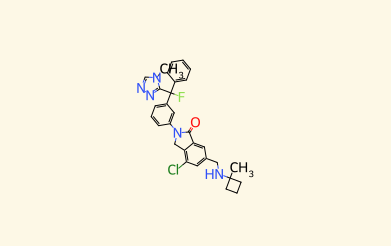 Cn1cnnc1C(F)(c1ccccc1)c1cccc(N2Cc3c(Cl)cc(CNC4(C)CCC4)cc3C2=O)c1